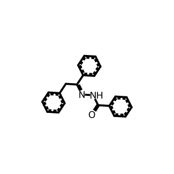 O=C(NN=C(Cc1ccccc1)c1ccccc1)c1ccccc1